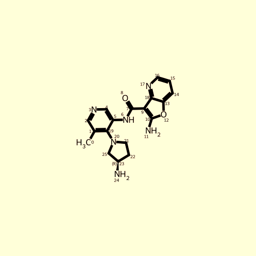 Cc1cncc(NC(=O)c2c(N)oc3cccnc23)c1N1CC[C@@H](N)C1